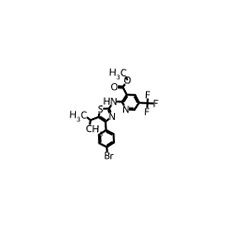 COC(=O)c1cc(C(F)(F)F)cnc1Nc1nc(-c2ccc(Br)cc2)c(C(C)C)s1